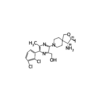 Cc1nc(N2CCC3(CC2)CO[C@@H](I)[C@@H]3N)c(CO)nc1-c1cccc(Cl)c1Cl